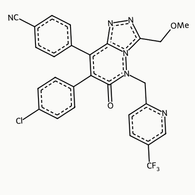 COCc1nnc2c(-c3ccc(C#N)cc3)c(-c3ccc(Cl)cc3)c(=O)n(Cc3ccc(C(F)(F)F)cn3)n12